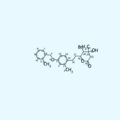 Cc1cc(OCc2ccccc2C)ccc1CCC1OC(=O)CC(C)(O)C1Br